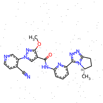 COc1nn(-c2cnccc2C#N)cc1C(=O)Nc1cccc(-c2nnc3n2[C@@H](C)CC3)n1